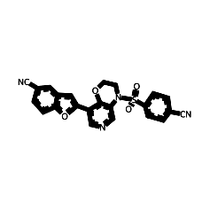 N#Cc1ccc(S(=O)(=O)N2CCOc3c(-c4cc5cc(C#N)ccc5o4)cncc32)cc1